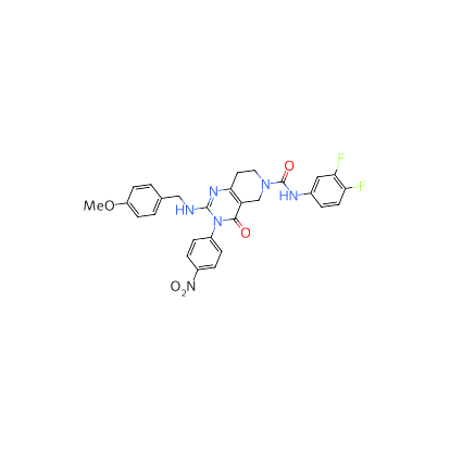 COc1ccc(CNc2nc3c(c(=O)n2-c2ccc([N+](=O)[O-])cc2)CN(C(=O)Nc2ccc(F)c(F)c2)CC3)cc1